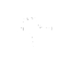 CCCN1C=CN(C)C1Cl